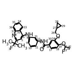 CC(C)(F)c1cc(Nc2cccc(NC(=O)c3ccc(OC(F)F)c(OCC4CC4)c3)c2)c2ccccc2n1